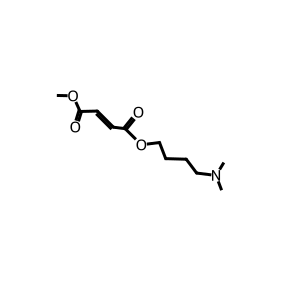 COC(=O)/C=C/C(=O)OCCCCN(C)C